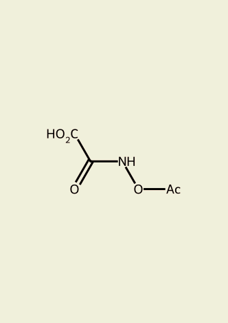 CC(=O)ONC(=O)C(=O)O